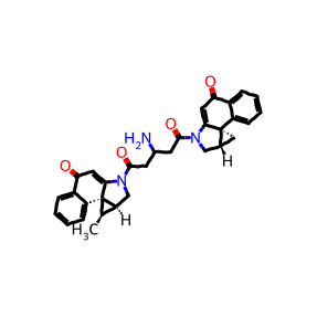 C[C@@H]1[C@@H]2CN(C(=O)CC(N)CC(=O)N3C[C@H]4C[C@@]45C3=CC(=O)c3ccccc35)C3=CC(=O)c4ccccc4[C@@]312